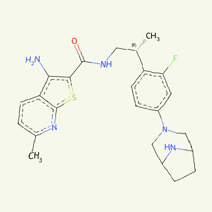 Cc1ccc2c(N)c(C(=O)NC[C@H](C)c3ccc(N4CC5CCC(C4)N5)cc3F)sc2n1